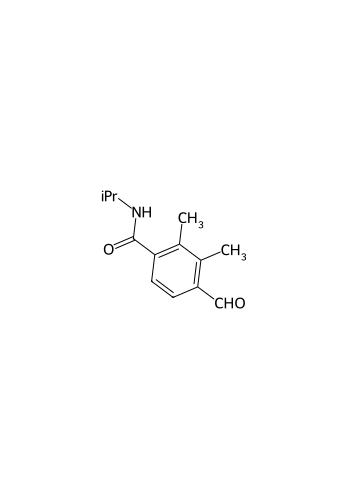 Cc1c(C=O)ccc(C(=O)NC(C)C)c1C